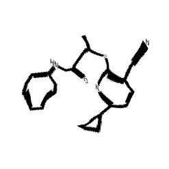 CC(Sc1nc(C2CC2)ccc1C#N)C(=O)Nc1ccccc1